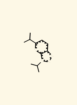 CC(C)c1ccc2nnn(C(C)C)c2n1